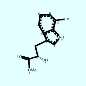 COC(=O)[C@@H](O)Cc1c[nH]c2c(F)cccc12